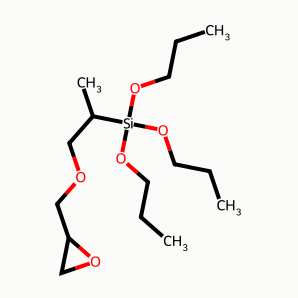 CCCO[Si](OCCC)(OCCC)C(C)COCC1CO1